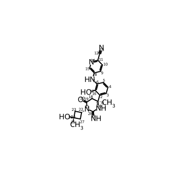 C[C@@]1(c2cccc(Nc3ccc(C#N)nc3)c2O)CC(=O)N([C@H]2C[C@@](C)(O)C2)C(=N)N1